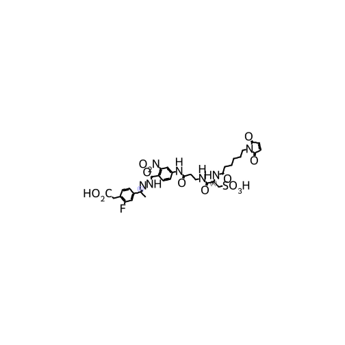 C/C(=N\NC(=O)c1ccc(NC(=O)CCNC(=O)[C@H](CS(=O)(=O)O)NC(=O)CCCCCN2C(=O)C=CC2=O)cc1[N+](=O)[O-])c1ccc(CC(=O)O)c(F)c1